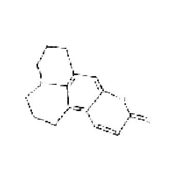 O=c1ccc2c3c4c(cc2o1)CCCN4CCC3